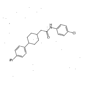 CC(C)c1ccc(C2CCC(CC(=O)Nc3ccc(Cl)cc3)CC2)cc1